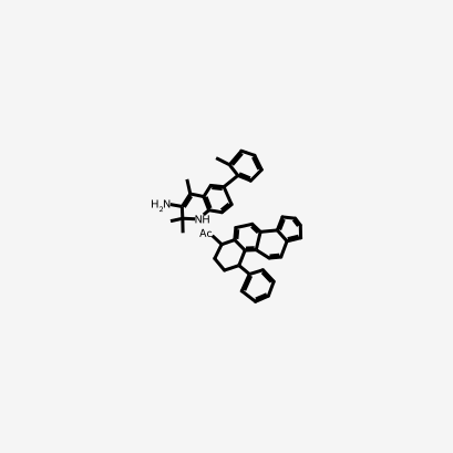 CC(=O)C1CCC(c2ccccc2)c2c1ccc1c2ccc2ccccc21.CC1=C(N)C(C)(C)Nc2ccc(-c3ccccc3C)cc21